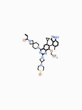 C=CC(=O)N1CC2(CCN(c3nc(N4CC(N5CC[S+]([O-])CC5)C4)nc4c(OCC(F)(F)F)c(-c5c(C)ccc6[nH]ncc56)c(C5CC5)cc34)CC2)C1